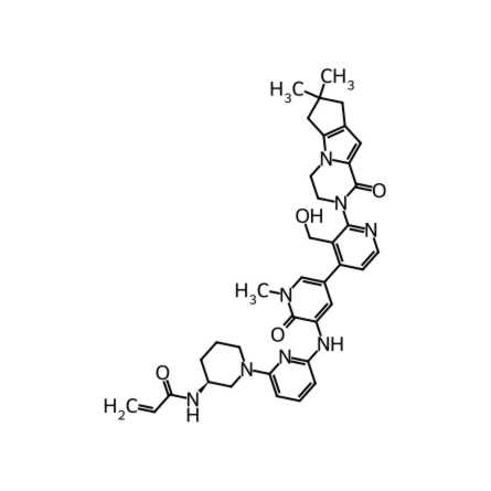 C=CC(=O)N[C@H]1CCCN(c2cccc(Nc3cc(-c4ccnc(N5CCn6c(cc7c6CC(C)(C)C7)C5=O)c4CO)cn(C)c3=O)n2)C1